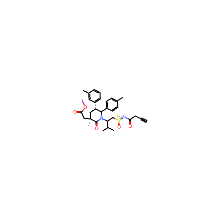 C#CCC(=O)N=[SH](=O)CC(C(C)C)N1C(=O)[C@@](C)(CC(=O)OI)C[C@H](c2cccc(C)c2)C1c1ccc(C)cc1